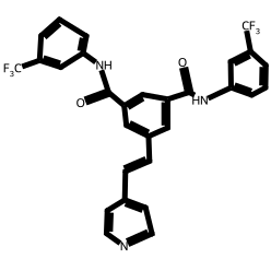 O=C(Nc1cccc(C(F)(F)F)c1)c1cc(C=Cc2ccncc2)cc(C(=O)Nc2cccc(C(F)(F)F)c2)c1